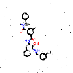 Cc1cc(C(=O)N[C@@H](Cc2ccccc2)[C@H](O)CNCc2cccc(C(F)(F)F)c2)cc(C(=O)N(C)[C@H](C)c2ccccc2)c1